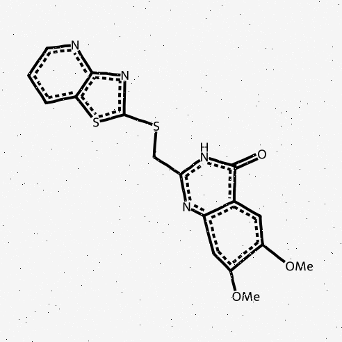 COc1cc2nc(CSc3nc4ncccc4s3)[nH]c(=O)c2cc1OC